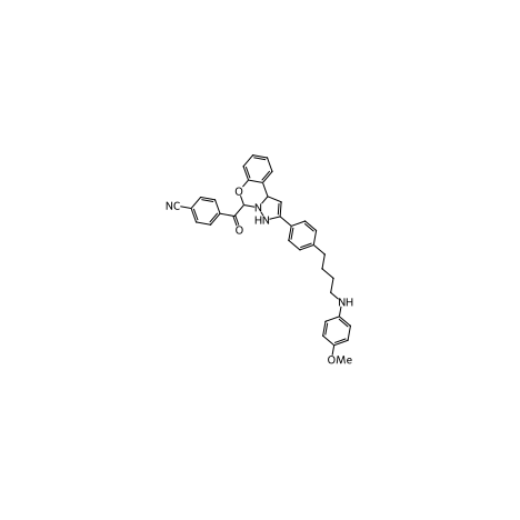 COc1ccc(NCCCCc2ccc(C3=CC4c5ccccc5OC(C(=O)c5ccc(C#N)cc5)N4N3)cc2)cc1